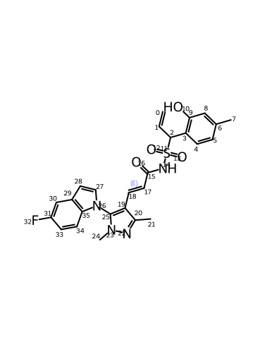 C=CC(c1ccc(C)cc1O)S(=O)(=O)NC(=O)/C=C/c1c(C)nn(C)c1-n1ccc2cc(F)ccc21